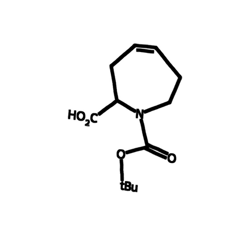 CC(C)(C)OC(=O)N1CCC=CCC1C(=O)O